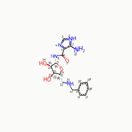 Nc1[nH]cnc1C(=O)N[C@@H]1O[C@H](CNCc2ccccc2)[C@@H](O)[C@H]1O